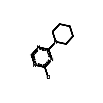 Clc1n[c]nc(N2CCCCC2)n1